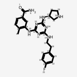 Cc1ccc(C(N)=O)cc1Nc1nc(NCCc2ccc(F)cc2)nc(N[C@H]2CCNC2)n1